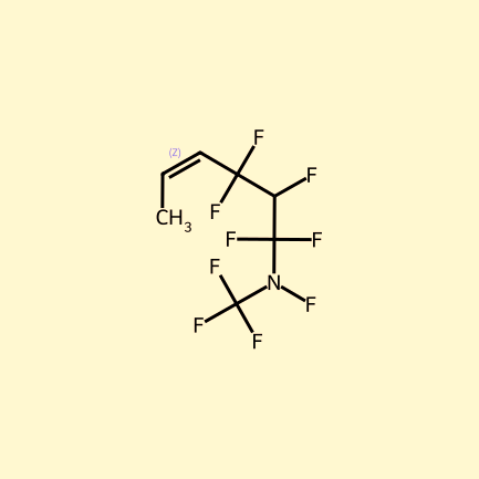 C/C=C\C(F)(F)C(F)C(F)(F)N(F)C(F)(F)F